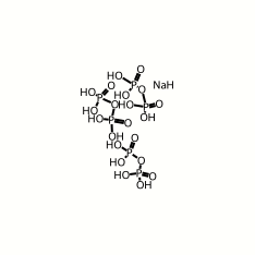 O=P(O)(O)OP(=O)(O)O.O=P(O)(O)OP(=O)(O)O.O=P(O)(O)OP(=O)(O)O.[NaH]